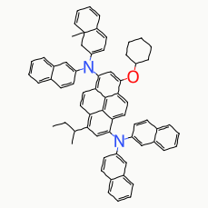 CCC(C)c1cc(N(c2ccc3ccccc3c2)c2ccc3ccccc3c2)c2ccc3c(OC4CCCCC4)cc(N(C4=CC=C5C=CC=CC5(C)C4)c4ccc5ccccc5c4)c4ccc1c2c34